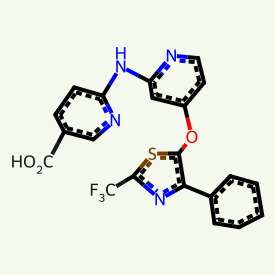 O=C(O)c1ccc(Nc2cc(Oc3sc(C(F)(F)F)nc3-c3ccccc3)ccn2)nc1